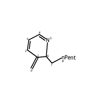 C=C1C=CC=NC1CCCCCC